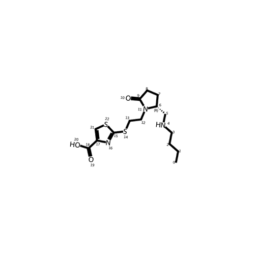 CCCCNC[C@H]1CCC(=O)N1CCSc1nc(C(=O)O)cs1